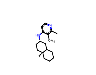 COc1c(N[C@@H]2CC[C@H]3CCCCC3C2)ccnc1C